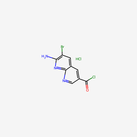 Cl.Nc1nc2ncc(C(=O)Cl)cc2cc1Br